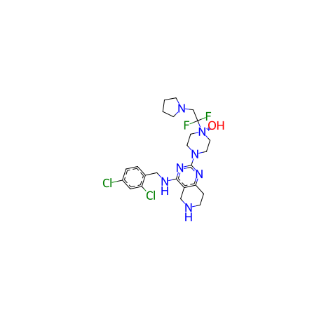 O[N+]1(C(F)(F)CN2CCCC2)CCN(c2nc3c(c(NCc4ccc(Cl)cc4Cl)n2)CNCC3)CC1